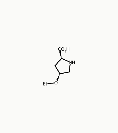 CCO[C@@H]1CN[C@H](C(=O)O)C1